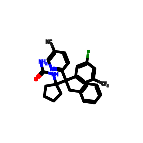 N#Cc1ccc(C(Cc2ccccc2)(c2cc(F)cc(C(F)(F)F)c2)C2(NC(N)=O)CCCC2)nc1